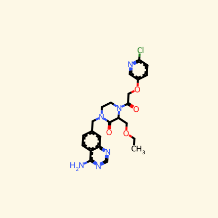 CCOCC1C(=O)N(Cc2ccc3c(N)ncnc3c2)CCN1C(=O)COc1ccc(Cl)nc1